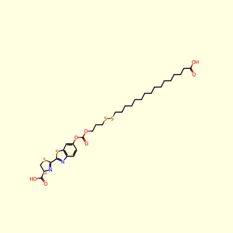 O=C(O)CCCCCCCCCCCCCCCSSCCCOC(=O)Oc1ccc2nc(C3=N[C@@H](C(=O)O)CS3)sc2c1